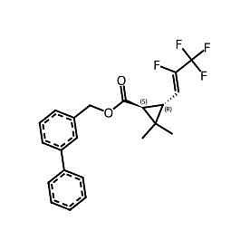 CC1(C)[C@@H](C=C(F)C(F)(F)F)[C@@H]1C(=O)OCc1cccc(-c2ccccc2)c1